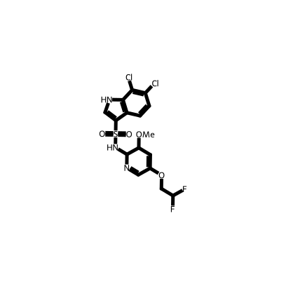 COC1C=C(OCC(F)F)C=NC1NS(=O)(=O)c1c[nH]c2c(Cl)c(Cl)ccc12